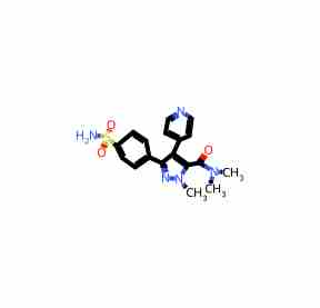 CN(C)C(=O)c1c(-c2ccncc2)c(-c2ccc(S(N)(=O)=O)cc2)nn1C